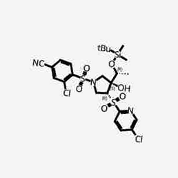 C[C@@H](O[Si](C)(C)C(C)(C)C)[C@@]1(O)CN(S(=O)(=O)c2ccc(C#N)cc2Cl)C[C@H]1S(=O)(=O)c1ccc(Cl)cn1